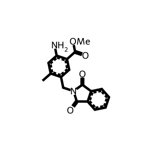 COC(=O)c1cc(CN2C(=O)c3ccccc3C2=O)c(C)cc1N